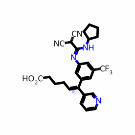 N#CC(C#N)C(=Nc1cc(/C(=C\CCCC(=O)O)c2cccnc2)cc(C(F)(F)F)c1)NC1CCCC1